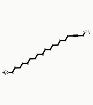 [CH2]CC#CCCCCCCCCCCCCCCCC[CH2]